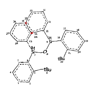 CC(C)(C)c1ccccc1[SiH](O[SiH](c1ccccc1)c1ccccc1C(C)(C)C)c1ccccc1